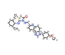 Cc1cccc(C)c1/N=C1\SCC(=O)N1/N=C/c1ccc2c(ccc3c2ncn3-c2ccc(OC(F)(F)F)cc2)n1